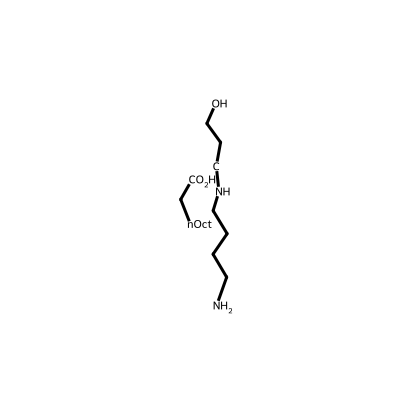 CCCCCCCCCC(=O)O.NCCCCNCCCO